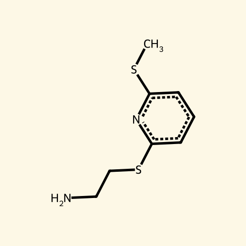 CSc1cccc(SCCN)n1